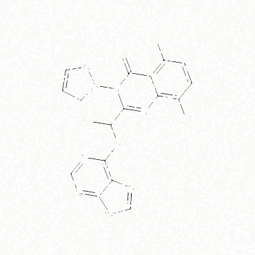 CCC(Nc1ncnc2[nH]cnc12)c1nc2c(Cl)ccc(Cl)c2c(=O)n1N1CC=CN1